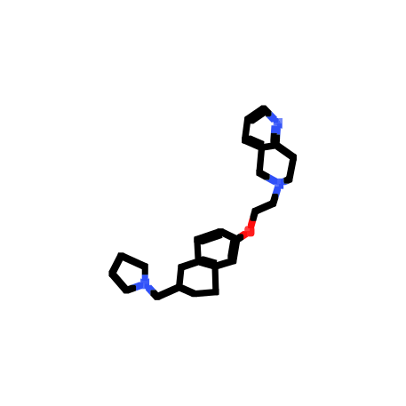 c1cnc2c(c1)CN(CCOc1ccc3c(c1)CCC(CN1CCCC1)C3)CC2